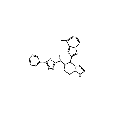 Cc1cccn2nc(C3c4nc[nH]c4CCN3C(=O)c3nnc(-c4cnccn4)o3)cc12